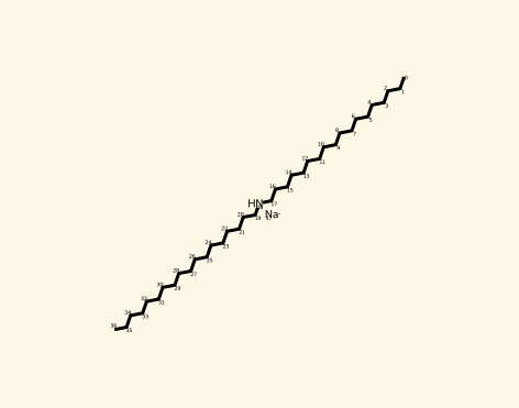 CCCCCCCCCCCCCCCCCCNCCCCCCCCCCCCCCCCCC.[Na]